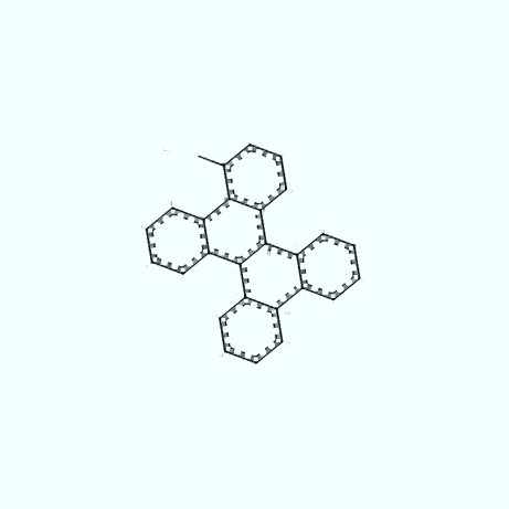 O=S(=O)(O)c1cccc2c1c1ccccc1c1c3ccccc3c3ccccc3c21